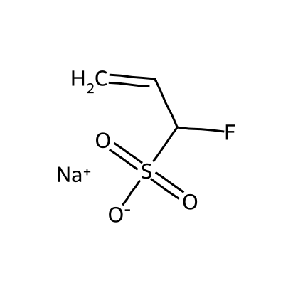 C=CC(F)S(=O)(=O)[O-].[Na+]